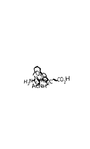 CC(=O)NCc1ccsc1-c1csc(N)n1.CC1CCCC(=O)O1.O=C(O)C=CC(=O)O